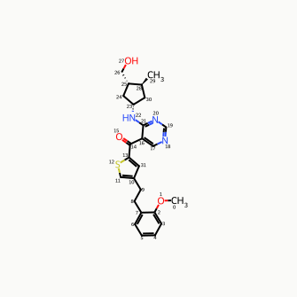 COc1ccccc1CCc1csc(C(=O)c2cncnc2N[C@@H]2C[C@H](CO)[C@@H](C)C2)c1